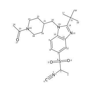 [C-]#[N+]C(C)S(=O)(=O)c1ccc2c(c1)nc(C(C)(C)C)n2CC1CCN(C(C)=O)CC1